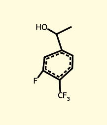 CC(O)c1ccc(C(F)(F)F)c(F)c1